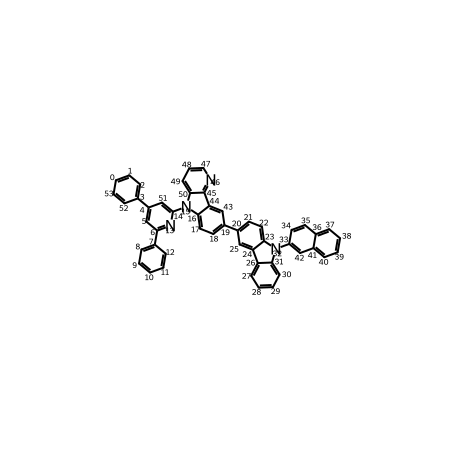 c1ccc(-c2cc(-c3ccccc3)nc(-n3c4ccc(-c5ccc6c(c5)c5ccccc5n6-c5ccc6ccccc6c5)cc4c4ncccc43)c2)cc1